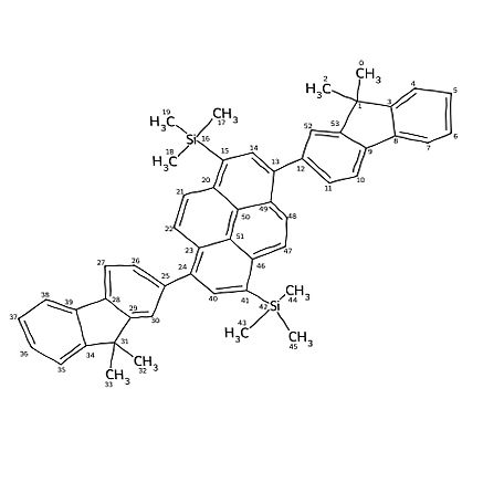 CC1(C)c2ccccc2-c2ccc(-c3cc([Si](C)(C)C)c4ccc5c(-c6ccc7c(c6)C(C)(C)c6ccccc6-7)cc([Si](C)(C)C)c6ccc3c4c56)cc21